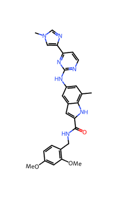 COc1ccc(CNC(=O)c2cc3cc(Nc4nccc(-c5cn(C)cn5)n4)cc(C)c3[nH]2)c(OC)c1